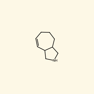 C1=CC2CNCC2CCC1